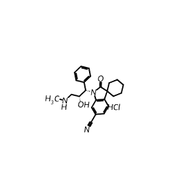 CNC[C@@H](O)[C@H](c1ccccc1)N1C(=O)C2(CCCCC2)c2ccc(C#N)cc21.Cl